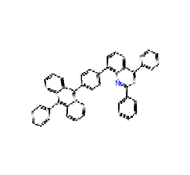 c1ccc(-c2cc(-c3ccccc3)c3cccc(-c4ccc(-c5c6ccccc6c(-c6ccccc6)c6ccccc56)cc4)c3n2)cc1